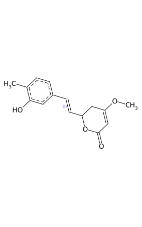 COC1=CC(=O)OC(/C=C/c2ccc(C)c(O)c2)C1